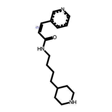 O=C(/C=C\c1cccnc1)NCCCCC1CCNCC1